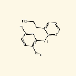 Nc1ccc(Cl)cc1Nc1ccccc1CCO